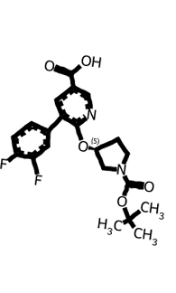 CC(C)(C)OC(=O)N1CC[C@H](Oc2ncc(C(=O)O)cc2-c2ccc(F)c(F)c2)C1